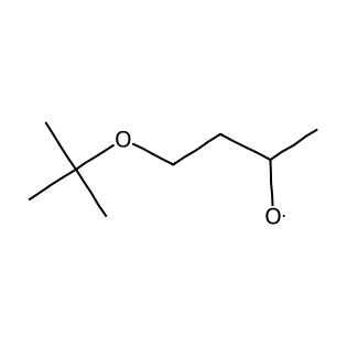 CC([O])CCOC(C)(C)C